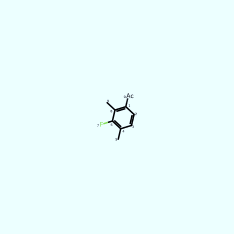 CC(=O)c1ccc(C)c(F)c1C